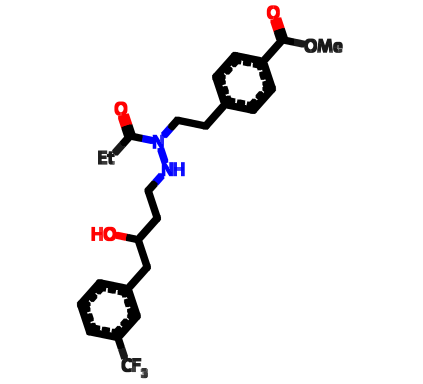 CCC(=O)N(CCc1ccc(C(=O)OC)cc1)NCCC(O)Cc1cccc(C(F)(F)F)c1